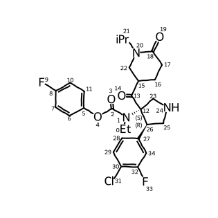 CCN(C(=O)Oc1ccc(F)cc1)[C@]1(C(=O)C2CCC(=O)N(C(C)C)C2)CNC[C@H]1c1ccc(Cl)c(F)c1